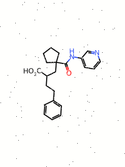 O=C(O)C(CCc1ccccc1)CC1(C(=O)Nc2cccnc2)CCCC1